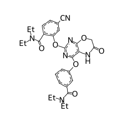 CCN(CC)C(=O)c1cccc(Oc2nc(Oc3cc(C#N)ccc3C(=O)N(CC)CC)nc3c2NC(=O)CO3)c1